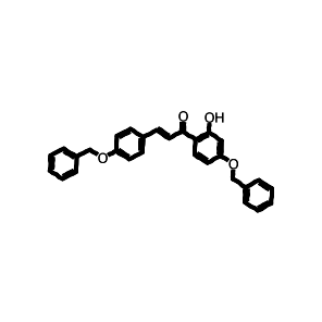 O=C(C=Cc1ccc(OCc2ccccc2)cc1)c1ccc(OCc2ccccc2)cc1O